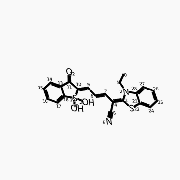 CCN1C(=C(C#N)C=CC=C2C(=O)c3ccccc3S2(O)O)Sc2ccccc21